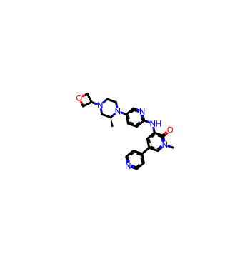 C[C@H]1CN(C2COC2)CCN1c1ccc(Nc2cc(-c3ccncc3)cn(C)c2=O)nc1